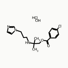 CC(C)(COC(=O)c1ccc(Cl)cc1)NCCCn1ccnc1.Cl.Cl